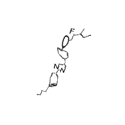 CCCCc1ccc(-c2ncc(-c3ccc(OCC(F)C(C)CC)cc3)cn2)cc1